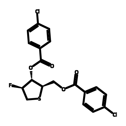 O=C(OC[C@H]1SC[C@@H](F)[C@@H]1OC(=O)c1ccc(Cl)cc1)c1ccc(Cl)cc1